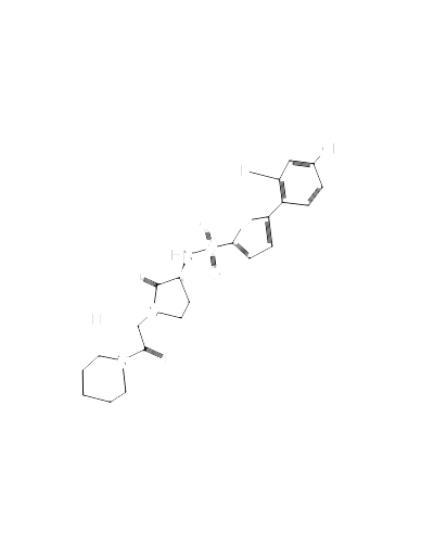 Cc1ccc(-c2ccc(S(=O)(=O)N[C@H]3CCN([C@@H](C)C(=O)N4CCCCC4)C3=O)s2)c(F)c1